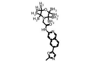 BC1(B)OC(B)(B)C(B)(B)N(CC(=O)Nc2cc3cc(-c4cnc(C)o4)ccc3cn2)C1(B)B